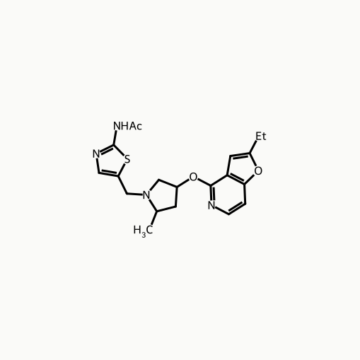 CCc1cc2c(OC3CC(C)N(Cc4cnc(NC(C)=O)s4)C3)nccc2o1